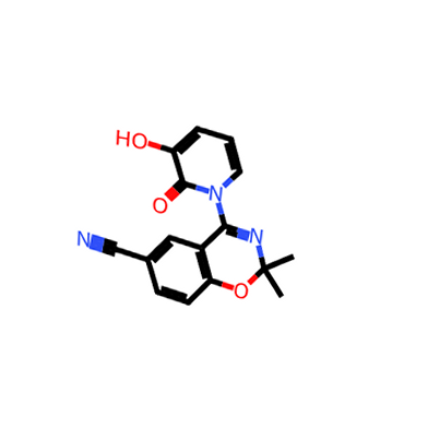 CC1(C)N=C(n2cccc(O)c2=O)c2cc(C#N)ccc2O1